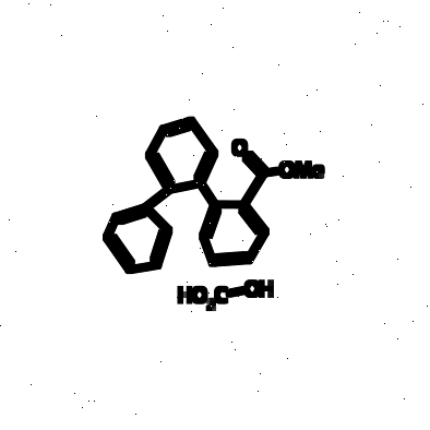 COC(=O)c1ccccc1-c1ccccc1-c1ccccc1.O=C(O)O